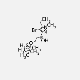 CCc1c(Br)c([C@H](O)CCO[Si](C)(C)C(C)(C)C)nn1C